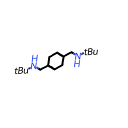 CC(C)(C)NCC1CCC(CNC(C)(C)C)CC1